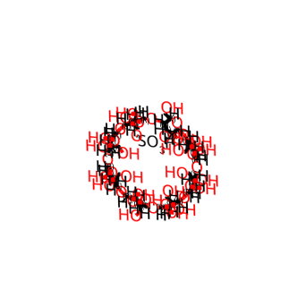 O=S(=O)(O)OC[C@H]1O[C@@H]2O[C@H]3[C@H](O)[C@@H](O)[C@@H](O[C@H]4[C@H](O)[C@@H](O)[C@@H](O[C@H]5[C@H](O)[C@@H](O)[C@@H](O[C@H]6[C@H](O)[C@@H](O)[C@@H](O[C@H]7[C@H](O)[C@@H](O)[C@@H](O[C@H]8[C@H](O)[C@@H](O)[C@@H](O[C@H]9[C@H](O)[C@@H](O)[C@@H](O[C@H]1[C@H](O)[C@H]2O)O[C@@H]9CO)O[C@@H]8CO)O[C@@H]7CO)O[C@@H]6CO)O[C@@H]5CO)O[C@@H]4CO)O[C@@H]3CO